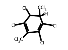 [2H]C1(C(Cl)(Cl)Cl)C(Cl)=C(Cl)C(C(Cl)(Cl)Cl)=C(Cl)C1Cl